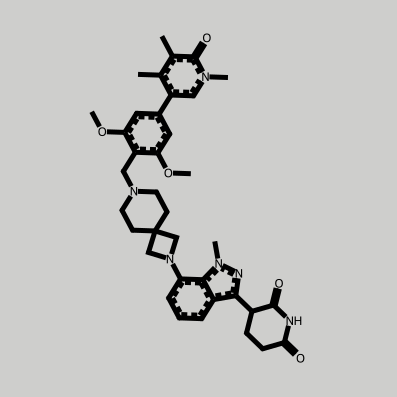 COc1cc(-c2cn(C)c(=O)c(C)c2C)cc(OC)c1CN1CCC2(CC1)CN(c1cccc3c(C4CCC(=O)NC4=O)nn(C)c13)C2